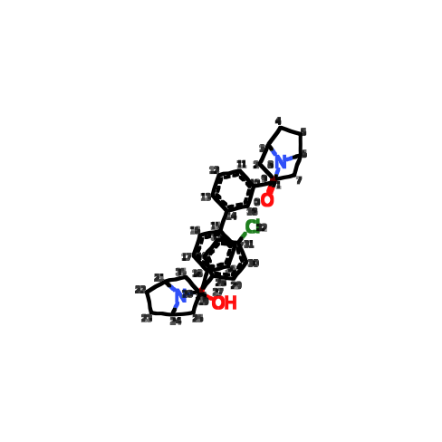 O=C1CC2CCC(C1)N2Cc1cccc(-c2ccc(CN3C4CCC3CC(O)(c3ccc(Cl)cc3)C4)cc2)c1